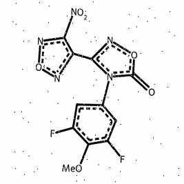 COc1c(F)cc(-n2c(-c3nonc3[N+](=O)[O-])noc2=O)cc1F